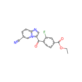 CCOC(=O)c1ccc(C(=O)c2cnc3ccc(C#N)cn23)c(F)c1